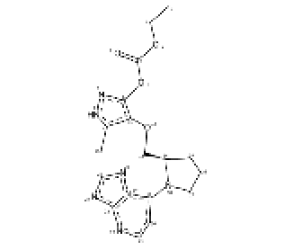 CCOC(=O)Oc1n[nH]c(C)c1OC[C@H]1CCCN1c1ccnc2ncnn12